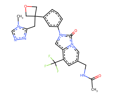 CC(=O)NCc1cc(C(F)(F)F)c2cn(-c3cccc(C4(Cc5nncn5C)COC4)c3)c(=O)n2c1